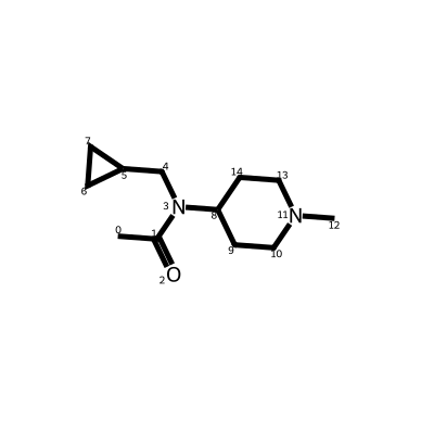 CC(=O)N(CC1CC1)C1CCN(C)CC1